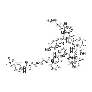 CC(O)CC(=O)N[C@@H](SS[C@H](NC(=O)[C@@H](Cc1ccccc1)NC(=O)COCCOCCNC(=S)Nc1ccc(CC(C)(C)C)cc1)C(=O)N[C@@H](Cc1ccc(O)cc1)C(=O)N[C@H](Cc1c[nH]c2ccccc12)C(=O)N[C@@H](CCCCN)C(N)=O)C(=O)N[C@H](C(=O)O)C(C)O